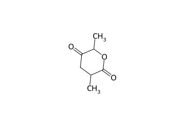 CC1CC(=O)C(C)OC1=O